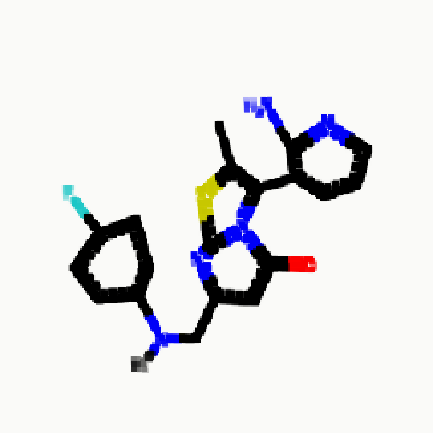 CCN(Cc1cc(=O)n2c(-c3cccnc3N)c(C)sc2n1)c1ccc(F)cc1